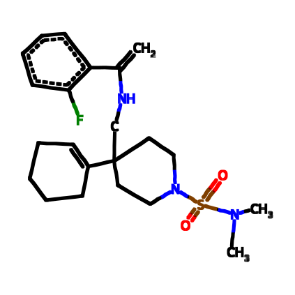 C=C(NCC1(C2=CCCCC2)CCN(S(=O)(=O)N(C)C)CC1)c1ccccc1F